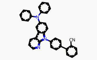 N#Cc1ccccc1-c1ccc(-n2c3ccc(N(c4ccccc4)c4ccccc4)cc3c3cccnc32)cc1